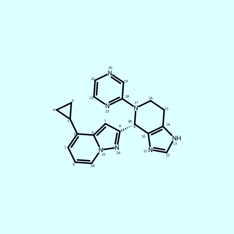 c1cc(C2CC2)c2cc([C@H]3c4nc[nH]c4CCN3c3cnccn3)nn2c1